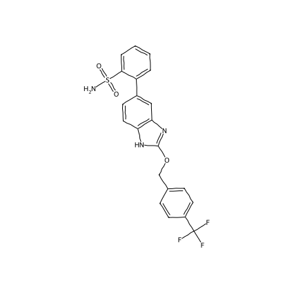 NS(=O)(=O)c1ccccc1-c1ccc2[nH]c(OCc3ccc(C(F)(F)F)cc3)nc2c1